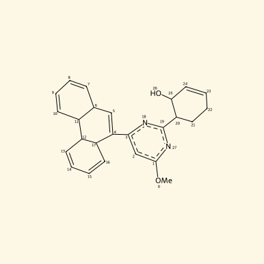 COc1cc(C2=CC3C=CC=CC3C3C=CC=CC23)nc(C2CCC=CC2O)n1